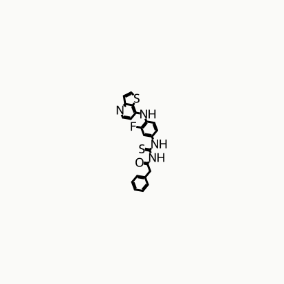 O=C(Cc1ccccc1)NC(=S)Nc1ccc(Nc2ccnc3ccsc23)c(F)c1